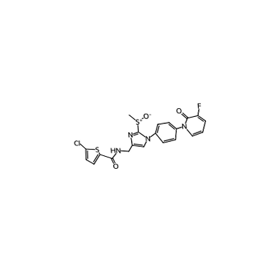 C[S+]([O-])c1nc(CNC(=O)c2ccc(Cl)s2)cn1-c1ccc(-n2cccc(F)c2=O)cc1